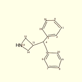 c1ccc(C(c2ccccc2)C2CNC2)cc1